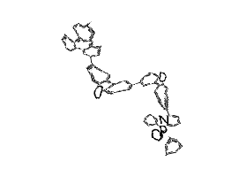 O=P(c1ccccc1)(c1ccccc1)c1cccc(-c2ccc3oc4ccc(-c5ccc6oc7ccc(-c8ccc9c%10ccccc%10c%10ccccc%10c9c8)cc7c6c5)cc4c3c2)n1